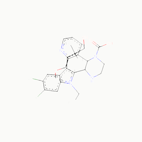 CCn1c(C2NCCN(C(=O)O)C2c2cccnc2[C@H](C)OC)c(CC(C)(C)CO)c2cc(Br)c(F)cc21